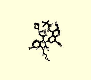 COC[C@@H](C)OC(=O)N(c1cc(C#N)c2ncc(C#N)c(N[C@H](C)C(C)(C)C)c2c1)[C@H](c1cn(C23CC(C2)C3)nn1)c1ccc(F)nc1C